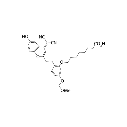 COCOc1ccc(/C=C/C2=CC(=C(C#N)C#N)c3cc(O)ccc3O2)c(OCCCCCCCC(=O)O)c1